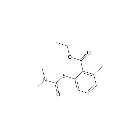 CCOC(=O)c1c(C)cccc1SC(=O)N(C)C